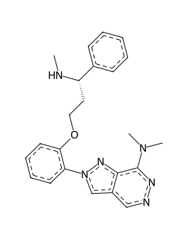 CN[C@@H](CCOc1ccccc1-n1cc2cnnc(N(C)C)c2n1)c1ccccc1